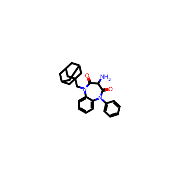 NC1C(=O)N(CC23CC4CC(CC(C4)C2)C3)c2ccccc2N(c2ccccc2)C1=O